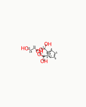 O=C(O)C1C2C=CC(C2)C1C(=O)O.OCCO